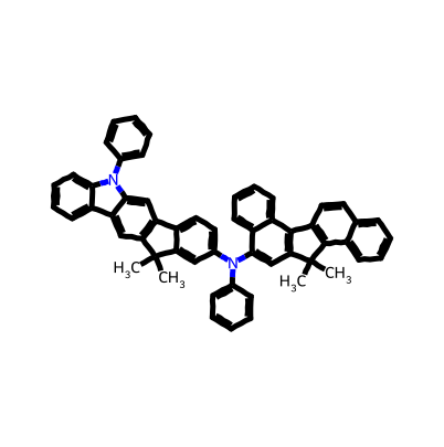 CC1(C)c2cc(N(c3ccccc3)c3cc4c(c5ccccc35)-c3ccc5ccccc5c3C4(C)C)ccc2-c2cc3c(cc21)c1ccccc1n3-c1ccccc1